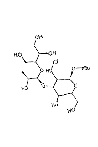 CCCCO[C@H]1OC(CO)[C@@H](O)[C@H](O[C@H](OC(CO)[C@H](O)CO)[C@H](C)O)C1NCl